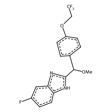 COC(c1ccc(OCC(F)(F)F)cc1)c1nc2cc(F)ccc2[nH]1